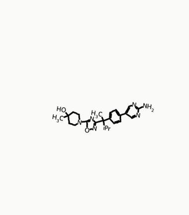 CC(C)C(C)(c1ccc(-c2cnc(N)nc2)cc1)c1noc(N2CCC(C)(O)CC2)n1